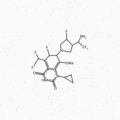 COC1=c2c(c(=O)[nH]c(=O)n2C2CC2)=C(C(F)F)C(F)C1N1CC(F)C(C(N)C(F)(F)F)C1